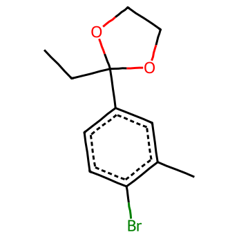 CCC1(c2ccc(Br)c(C)c2)OCCO1